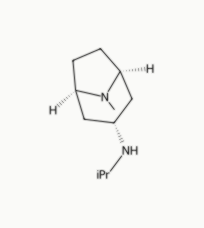 CC(C)N[C@@H]1C[C@H]2CC[C@@H](C1)N2C